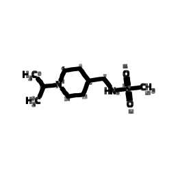 CC(C)N1CCC(CNS(C)(=O)=O)CC1